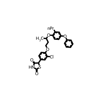 CCCc1cc(Oc2ccccc2)ccc1OC(C)CCOc1ccc(C2SC(=O)NC2=O)cc1Cl